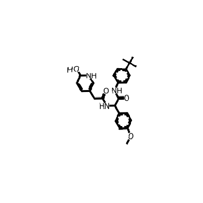 COc1ccc(C(NC(=O)CC2=CNC(O)C=C2)C(=O)Nc2ccc(C(C)(C)C)cc2)cc1